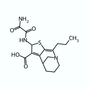 CCCC1=C2SC(NC(=O)C(N)=O)C(C(=O)O)=C2C2CCCN1C2